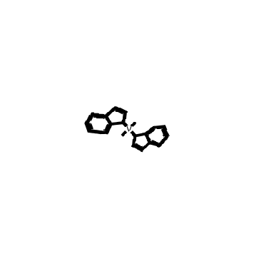 [CH3][V]([CH3])([CH]1C=Cc2ccccc21)[CH]1C=Cc2ccccc21